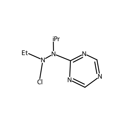 CCN(Cl)N(c1ncncn1)C(C)C